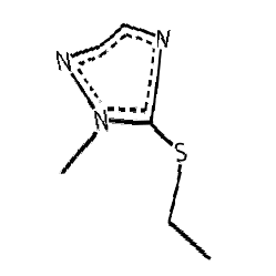 CCSc1ncnn1C